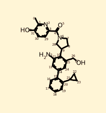 Cc1nc(C(=O)N2CCC(c3c(N)cc(-c4ccccc4C4CC4)cc3CO)C2)ccc1O